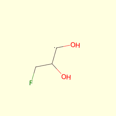 O[CH]C(O)CF